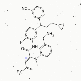 C=C(/C=C(/C(=O)Nc1cc(C(CCC2CC2)c2cccc(C#N)c2)ccc1F)N(C)c1cccc(CN)c1)C(F)(F)F